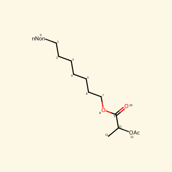 CCCCCCCCCCCCCCCCOC(=O)C(C)OC(C)=O